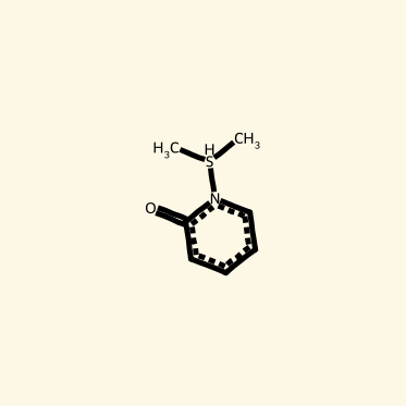 C[SH](C)n1ccccc1=O